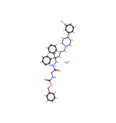 Cl.O=C(CNC(=O)OCc1ccccc1)NCC(CCCN1CCC(c2cccc(F)c2)CC1)(c1ccccc1)c1ccccc1